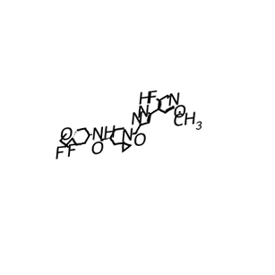 COc1cc(-c2cc(C(=O)N3CC[C@H](C(=O)N[C@H]4CC[C@@]5(CC4)OCC5(F)F)CC34CC4)n[nH]2)c(F)cn1